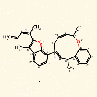 C=C/C=C(/C)c1oc2c(/C3=C/C(C)c4ccccc4OC(C)C=CC3)cccc2c1C